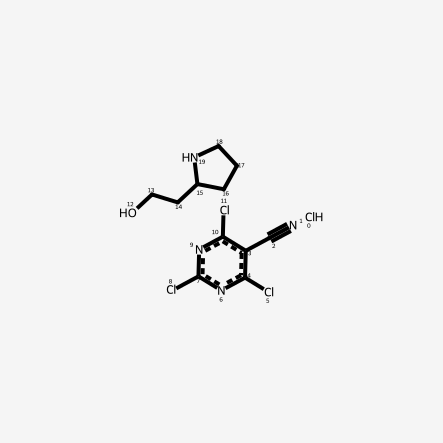 Cl.N#Cc1c(Cl)nc(Cl)nc1Cl.OCCC1CCCN1